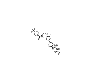 COC(=O)Nc1nc2ncc(-c3cc(C)c4c(c3)CN(C(=O)N3CCC(C(C)(F)F)CC3)CCO4)cc2[nH]1